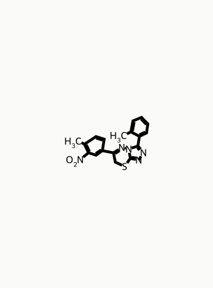 Cc1ccccc1-c1nnc2n1N=C(c1ccc(C)c([N+](=O)[O-])c1)CS2